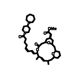 COC(=O)/C=C1\CC2CC(=O)OC(/C=C/C=C\CCCC(=O)N3CCC(N4CCCCCC4)CC3)C(C)/C=C/C(C)CC3CCCC(CC(C1)O2)O3